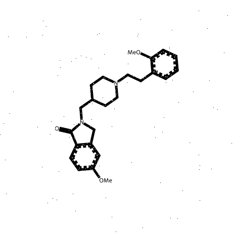 COc1ccc2c(c1)CN(CC1CCN(CCc3ccccc3OC)CC1)C2=O